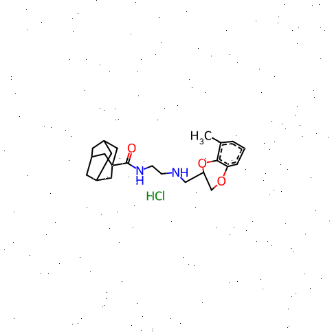 Cc1cccc2c1OC(CNCCNC(=O)C13CC4CC(CC(C4)C1)C3)CO2.Cl